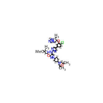 COC(C)CCOc1nn(C2CCC(N3C[C@@H](C)O[C@@H](C)C3)CC2)cc1Nc1ncc(-c2ccc(Cl)c(OC(C)Cn3cncn3)c2)cn1